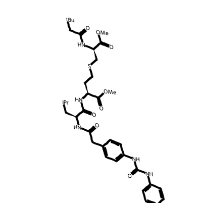 COC(=O)[C@H](CCSC[C@@H](NC(=O)CC(C)(C)C)C(=O)OC)NC(=O)[C@H](CC(C)C)NC(=O)Cc1ccc(NC(=O)Nc2ccccc2)cc1